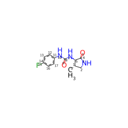 C[C@H]1CNC(=O)[C@@H]1NC(=O)Nc1ccc(F)cc1